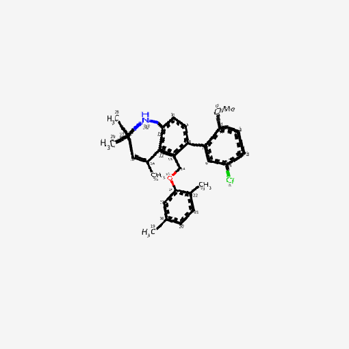 COc1ccc(Cl)cc1-c1ccc2c(c1COc1cc(C)ccc1C)C(C)=CC(C)(C)N2